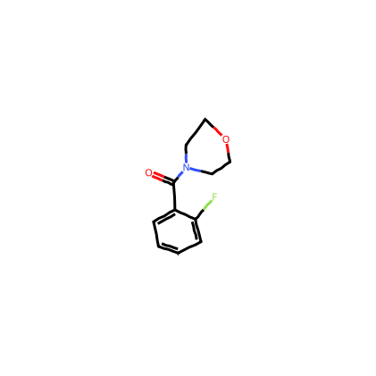 O=C(c1cc[c]cc1F)N1CCOCC1